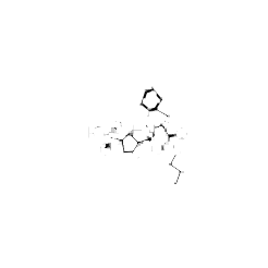 CCCCOC(=O)[C@H](Cc1ccccc1)NC(=O)C1CCC(S(=O)(=O)O)C1